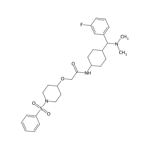 CN(C)C(c1cccc(F)c1)C1CCC(NC(=O)COC2CCN(S(=O)(=O)c3ccccc3)CC2)CC1